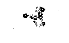 Cc1cccc(N2CCc3c(nc(OC[C@@H]4CCCN4C)nc3N3CCN(CC(=O)OCc4ccccc4)[C@@H](CC#N)C3)C2)c1C